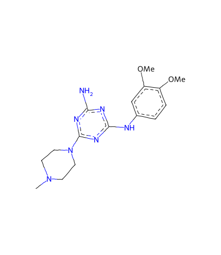 COc1ccc(Nc2nc(N)nc(N3CCN(C)CC3)n2)cc1OC